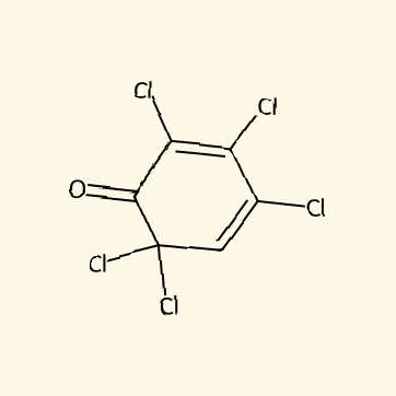 O=C1C(Cl)=C(Cl)C(Cl)=CC1(Cl)Cl